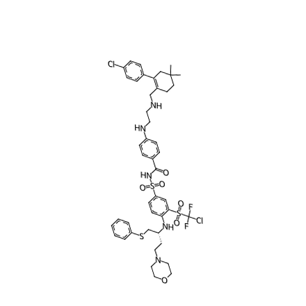 CC1(C)CCC(CNCCNc2ccc(C(=O)NS(=O)(=O)c3ccc(N[C@H](CCN4CCOCC4)CSc4ccccc4)c(S(=O)(=O)C(F)(F)Cl)c3)cc2)=C(c2ccc(Cl)cc2)C1